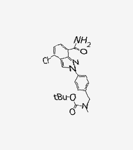 CN(Cc1ccc(-n2cc3c(Cl)ccc(C(N)=O)c3n2)cc1)C(=O)OC(C)(C)C